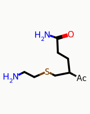 CC(=O)C(CCC(N)=O)CSCCN